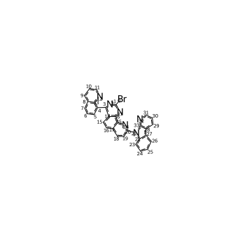 Brc1nc(-c2cccc3cccnc23)c2ccc3ccc(-n4c5ccccc5c5cccnc54)nc3c2n1